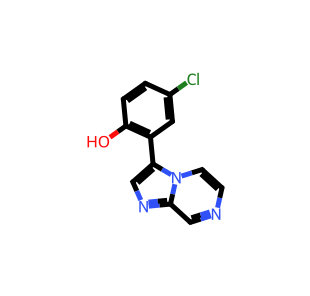 Oc1ccc(Cl)cc1-c1cnc2cnccn12